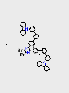 CC(C)c1nc2c3ccc(-c4cccc(-c5cccc(-n6c7ccccc7c7ccccc76)c5)c4)cc3c3cc(-c4cccc(-c5cccc(-n6c7ccccc7c7ccccc76)c5)c4)ccc3c2nc1C(C)C